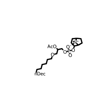 CCCCCCCCCCCCCCCCOCC(COP(=O)([O-])OC1CCC2CCC1[N+]2(C)C)OC(C)=O